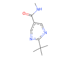 CNC(=O)c1cnc(C(C)(C)C)nc1